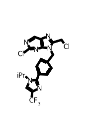 CC(C)n1cc(C(F)(F)F)nc1-c1ccc(Cn2c(CCl)nc3cnc(Cl)nc32)cc1